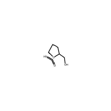 N=C=O.OCC1CCCO1